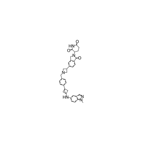 Cn1ncc2cc(NC34CC(c5ccc(CN6CC(c7ccc8c(c7)CN(C7CCC(=O)NC7=O)C8=O)C6)cc5)(C3)C4)ccc21